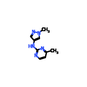 Cc1ccnc(Nc2cnn(C)c2)n1